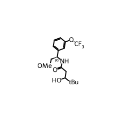 COC[C@H](NC(=O)CC(O)C(C)(C)C)c1cccc(OC(F)(F)F)c1